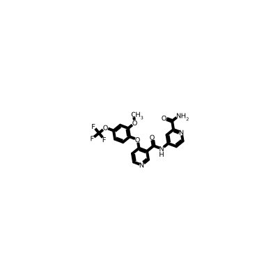 COc1cc(OC(F)(F)F)ccc1Oc1ccncc1C(=O)Nc1ccnc(C(N)=O)c1